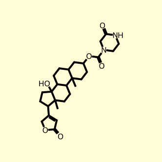 CC12CCC(OC(=O)N3CCNC(=O)C3)CC1CCC1C2CCC2(C)C(C3=CC(=O)OC3)CCC12O